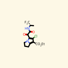 CCOC(=O)c1c(Cl)c(C(=O)C(=O)N[C@@H](C)C(F)(F)F)n2c1CCC2